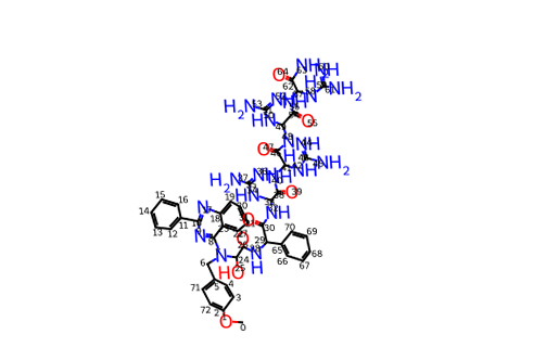 COc1ccc(CN(c2nc(-c3ccccc3)nc3ccccc23)C(O)C(=O)NC(C(=O)NC(NC(=N)N)C(=O)NC(NC(=N)N)C(=O)NC(NC(=N)N)C(=O)NC(NC(=N)N)C(N)=O)c2ccccc2)cc1